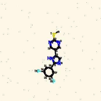 CSc1ncc(-c2cnc(-c3cc(F)cc(F)c3)[nH]2)cn1